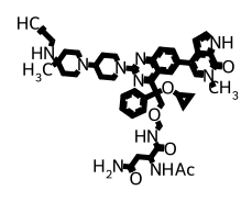 C#CCNC1(C)CCN(C2CCN(c3nc(C(COCNC(=O)C(CC(N)=O)NC(C)=O)(OC4CC4)c4ccccc4)c4cc(-c5cn(C)c(=O)c6[nH]ccc56)ccc4n3)CC2)CC1